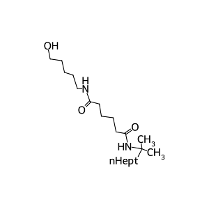 CCCCCCCC(C)(C)NC(=O)CCCCC(=O)NCCCCCO